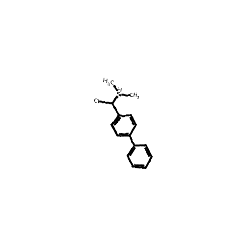 C[SiH](C)C(Cl)c1ccc(-c2ccccc2)cc1